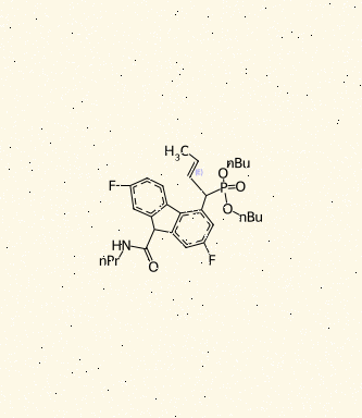 C/C=C/C(c1cc(F)cc2c1-c1ccc(F)cc1C2C(=O)NCCC)P(=O)(OCCCC)OCCCC